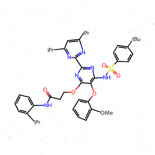 COc1ccccc1Oc1c(NS(=O)(=O)c2ccc(C(C)(C)C)cc2)nc(-c2nc(C(C)C)cc(C(C)C)n2)nc1OCCC(=O)Nc1ccccc1C(C)C